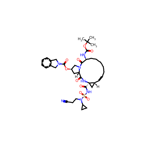 CC(C)(C)OC(=O)N[C@H]1CCCCC/C=C\[C@@H]2C[C@@]2(C(=O)NS(=O)(=O)N(CCC#N)C2CC2)NC(=O)[C@@H]2C[C@@H](OC(=O)N3Cc4ccccc4C3)CN2C1=O